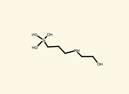 OCCNCCC[Si](O)(O)O